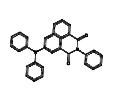 O=C1c2cccc3cc(N(c4ccccc4)c4ccccc4)cc(c23)C(=O)N1c1ccccc1